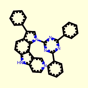 c1ccc(-c2nc(-c3ccccc3)nc(-n3cc(-c4ccccc4)c4ccc5[nH]c6ccncc6c5c43)n2)cc1